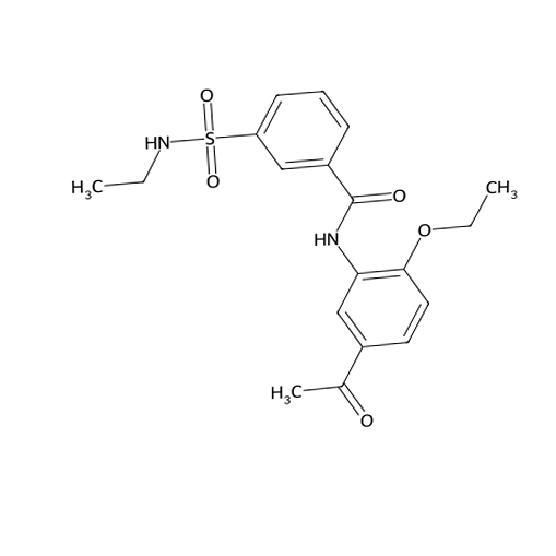 CCNS(=O)(=O)c1cccc(C(=O)Nc2cc(C(C)=O)ccc2OCC)c1